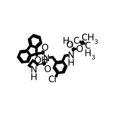 CC(C)(C)OC(=O)NCc1ccc(Cl)cc1CN(C(=O)[C@@H]1CCN1)C(=O)C1(O)c2ccccc2-c2ccccc21